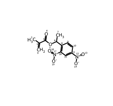 C=C(C)C(=O)OC(C)c1ccc([N+](=O)[O-])cc1[N+](=O)[O-]